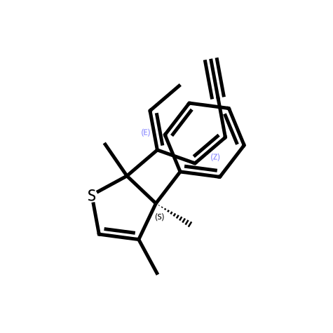 C#C/C=C\C(=C/C)C1(C)SC=C(C)[C@]1(C)c1ccccc1